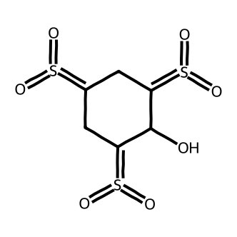 O=S(=O)=C1CC(=S(=O)=O)C(O)C(=S(=O)=O)C1